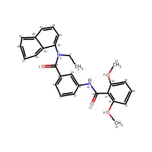 CCN(C(=O)c1cccc(NC(=O)c2c(OC)cccc2OC)c1)c1cccc2ccccc12